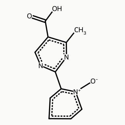 Cc1nc(-c2cccc[n+]2[O-])ncc1C(=O)O